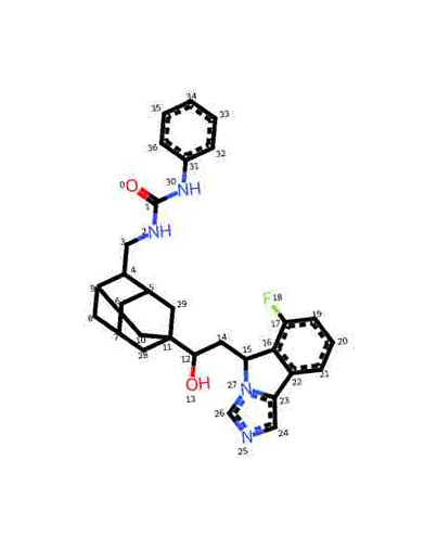 O=C(NCC1C2CC3CC1CC(C(O)CC1c4c(F)cccc4-c4cncn41)(C3)C2)Nc1ccccc1